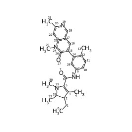 CCC1C(C)=C(C(=O)Nc2ccc(C)c(-c3cc4cnc(C)cc4n(C)c3=O)c2)N(C)C1C